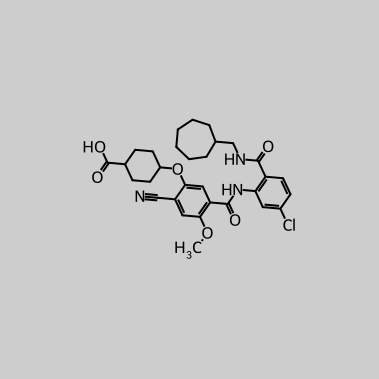 COc1cc(C#N)c(OC2CCC(C(=O)O)CC2)cc1C(=O)Nc1cc(Cl)ccc1C(=O)NCC1CCCCCC1